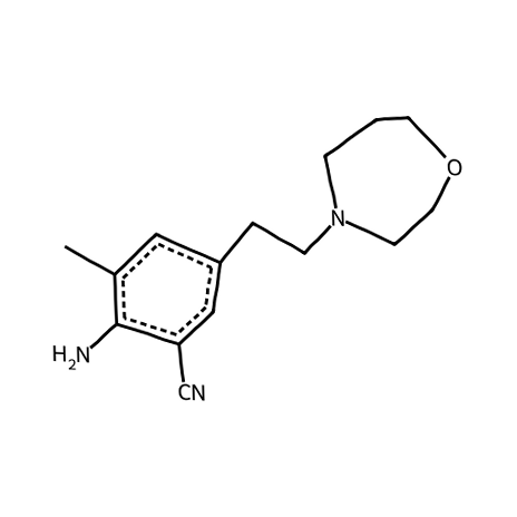 Cc1cc(CCN2CCCOCC2)cc(C#N)c1N